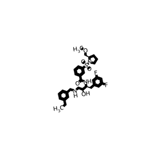 CCc1cccc(CNC[C@H](O)[C@H](Cc2cc(F)cc(F)c2)NC(=O)c2cccc(S(=O)(=O)N3CCC[C@@H]3COC)c2)c1